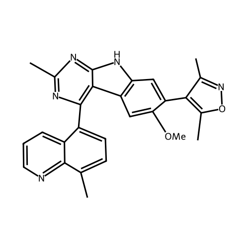 COc1cc2c(cc1-c1c(C)noc1C)[nH]c1nc(C)nc(-c3ccc(C)c4ncccc34)c12